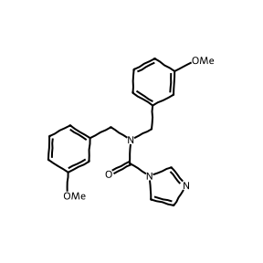 COc1cccc(CN(Cc2cccc(OC)c2)C(=O)n2ccnc2)c1